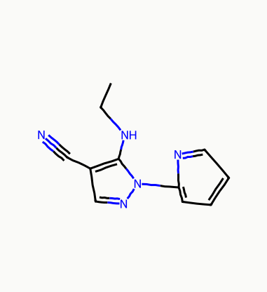 CCNc1c(C#N)cnn1-c1ccccn1